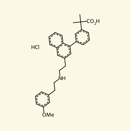 COc1cccc(CCNCCc2cc(-c3cccc(C(C)(C)C(=O)O)c3)c3ccccc3c2)c1.Cl